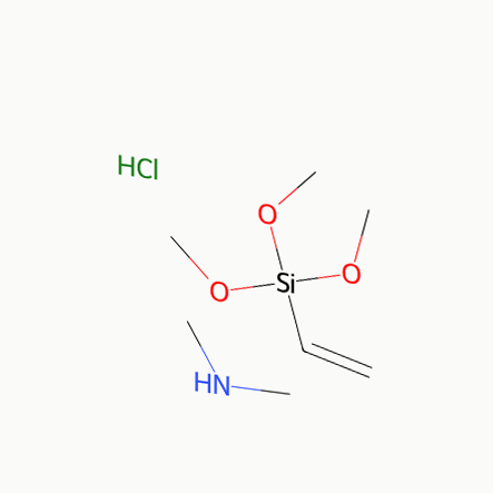 C=C[Si](OC)(OC)OC.CNC.Cl